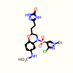 CCn1cc(S(=O)(=O)N2CC(CCc3n[nH]c(=O)[nH]3)Oc3ccc(NC(=O)O)cc32)c(Cl)n1